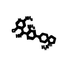 N=C(c1cc(N)ncc1Cl)c1ncc(N2CCC3(CCC[C@H]3N)CC2)nc1N